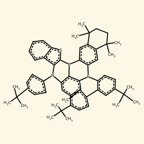 Cc1cc2c3c(c1)N(c1ccc(C(C)(C)C)cc1)c1c(sc4ccccc14)B3c1cc3c(cc1N2c1ccc(C(C)(C)C)cc1-c1ccc(C(C)(C)C)cc1)C(C)(C)CCC3(C)C